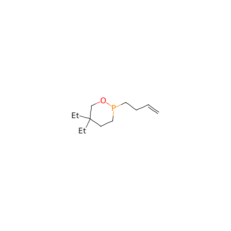 C=CCCP1CCC(CC)(CC)CO1